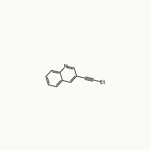 CCC#Cc1cnc2ccccc2c1